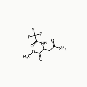 COC(=O)C(CC(N)=O)NC(=O)C(F)(F)F